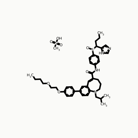 CCCCOCCOc1ccc(-c2ccc3c(c2)C=C(C(=O)Nc2ccc([S+]([O-])C(CCC)c4cnc[nH]4)cc2)CCCN3CC(C)C)cc1.CS(=O)(=O)O